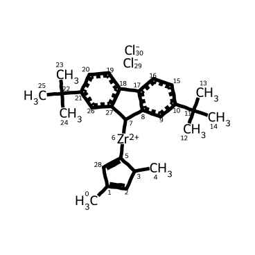 CC1=CC(C)[C]([Zr+2][CH]2c3cc(C(C)(C)C)ccc3-c3ccc(C(C)(C)C)cc32)=C1.[Cl-].[Cl-]